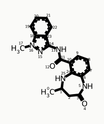 CC1CC(=O)Nc2cccc(C(=O)Nc3nn(C)c4ccccc34)c2N1